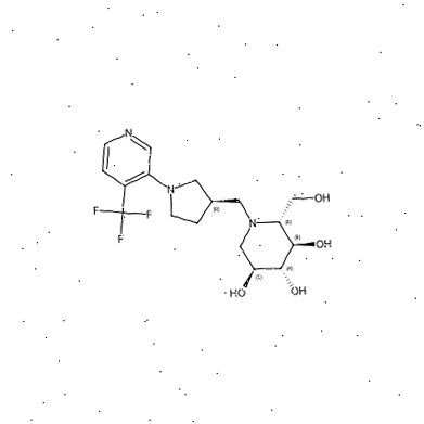 OC[C@@H]1[C@@H](O)[C@H](O)[C@@H](O)CN1C[C@H]1CCN(c2cnccc2C(F)(F)F)C1